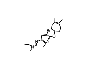 CCN(C)/C=N/c1cc(Br)c(OC2CCC(C)=C(C)CC2)nc1C